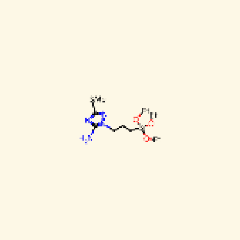 CCO[Si](CCCn1nc(SC)nc1N)(OCC)OCC